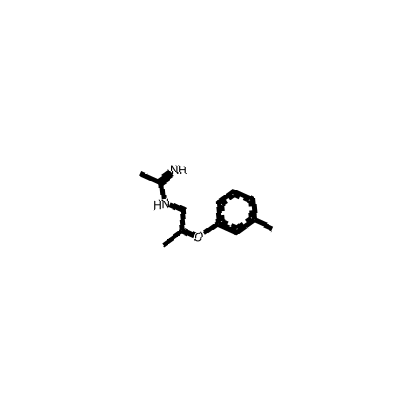 CC(=N)NCC(C)Oc1cccc(C)c1